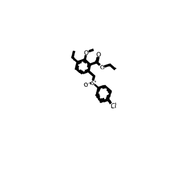 CCOC(=O)c1c(C[S+]([O-])c2ccc(Cl)cc2)ccc(CC)c1OC